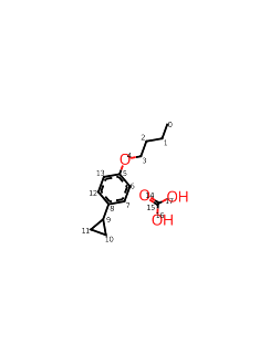 CCCCOc1ccc(C2CC2)cc1.O=C(O)O